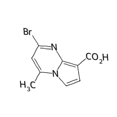 Cc1cc(Br)nc2c(C(=O)O)ccn12